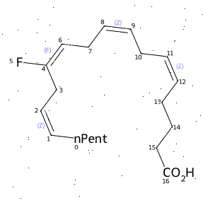 CCCCC/C=C\C/C(F)=C\C/C=C\C/C=C\CCCC(=O)O